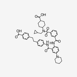 O=C(O)c1ccc(CCc2ccc(NC(=O)c3cc(N4CCCCC4)ccc3NC(=O)c3cccc(S(=O)(=O)N(CC4CC4)C4CCC(C(=O)O)CC4)c3)cc2)cc1